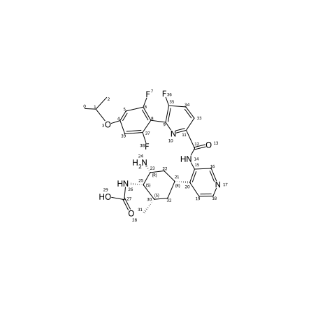 CC(C)Oc1cc(F)c(-c2nc(C(=O)Nc3cnccc3[C@H]3C[C@@H](N)[C@@H](NC(=O)O)[C@@H](C)C3)ccc2F)c(F)c1